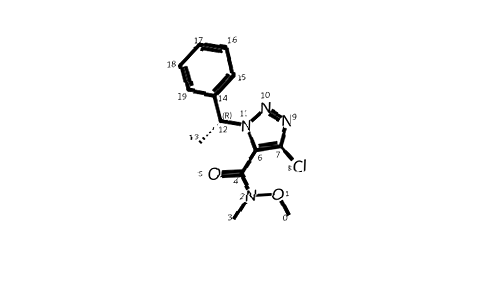 CON(C)C(=O)c1c(Cl)nnn1[C@H](C)c1ccccc1